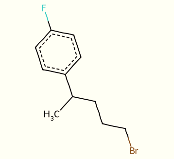 CC(CCCBr)c1ccc(F)cc1